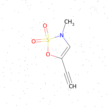 C#CC1=CN(C)S(=O)(=O)O1